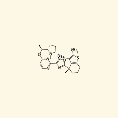 C[C@H](Oc1ccnc(-c2noc([C@@]3(C)CCCc4sc(N)c(C#N)c43)n2)n1)[C@@H]1CCCN1C